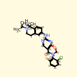 CC(C)N1CCc2cc(Nc3ncc4c(n3)OCN(c3c(F)cccc3Cl)C4=O)ccc2C1(C)C